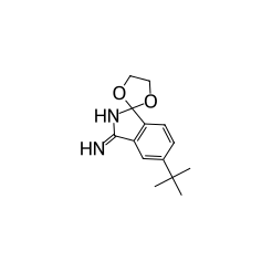 CC(C)(C)c1ccc2c(c1)C(=N)NC21OCCO1